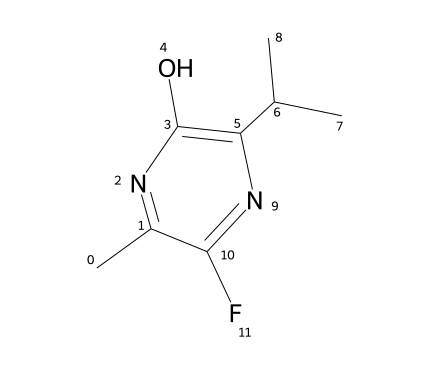 Cc1nc(O)c(C(C)C)nc1F